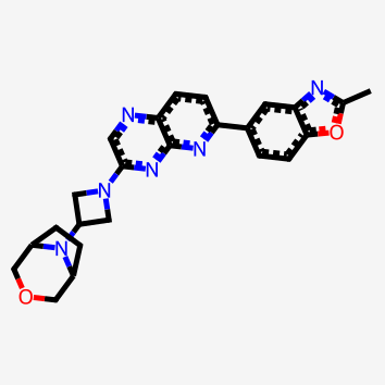 Cc1nc2cc(-c3ccc4ncc(N5CC(N6C7CCC6COC7)C5)nc4n3)ccc2o1